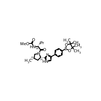 COC(=O)N[C@@H](C(=O)N1C[C@@H](C)C[C@H]1c1nc(-c2ccc(B3OC(C)(C)C(C)(C)O3)cc2)c[nH]1)C(C)C